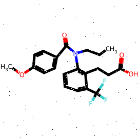 CCCN(C(=O)c1ccc(OC)cc1)c1cccc(C(F)(F)F)c1CCC(=O)O